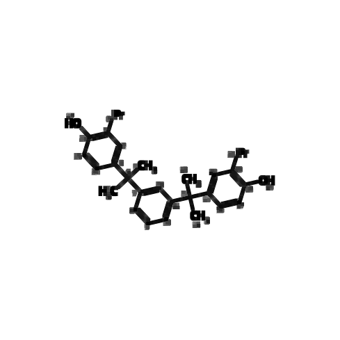 CC(C)c1cc(C(C)(C)c2cccc(C(C)(C)c3ccc(O)c(C(C)C)c3)c2)ccc1O